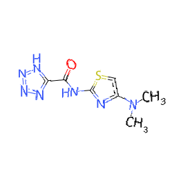 CN(C)c1csc(NC(=O)c2nnn[nH]2)n1